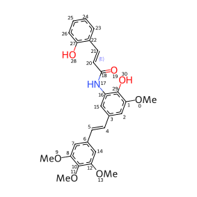 COc1cc(C=Cc2cc(OC)c(OC)c(OC)c2)cc(NC(=O)/C=C/c2ccccc2O)c1O